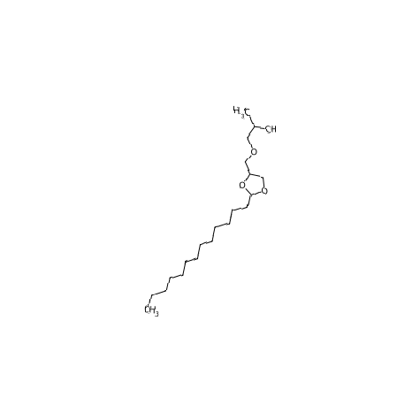 CCCCCCCCCCCCCC1OCC(COCC(C)O)O1